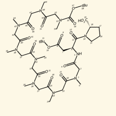 CN(CC(=O)N[C@@H](CC(=O)OC(C)(C)C)C(=O)N1CCC[C@H]1C(=O)O)C(=O)CN(C)C(=O)CN(C)C(=O)CN(C)C(=O)CN(C)C(=O)CN(C)C(=O)CN(C)C(=O)CN(C)C(=O)OC(C)(C)C